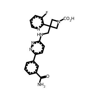 NC(=O)c1cccc(-c2ccc(NCC3(c4ncccc4F)CN(C(=O)O)C3)nn2)c1